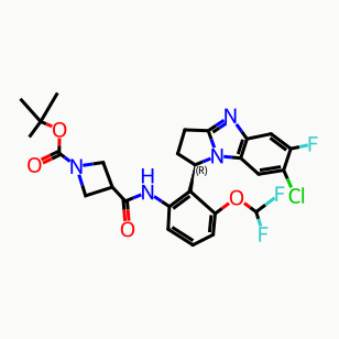 CC(C)(C)OC(=O)N1CC(C(=O)Nc2cccc(OC(F)F)c2[C@H]2CCc3nc4cc(F)c(Cl)cc4n32)C1